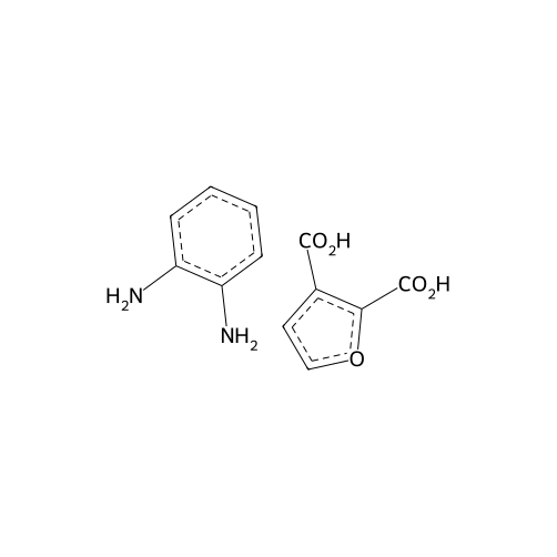 Nc1ccccc1N.O=C(O)c1ccoc1C(=O)O